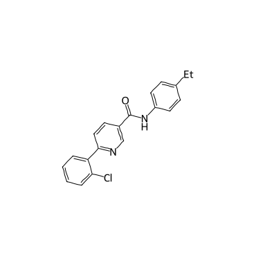 CCc1ccc(NC(=O)c2ccc(-c3ccccc3Cl)nc2)cc1